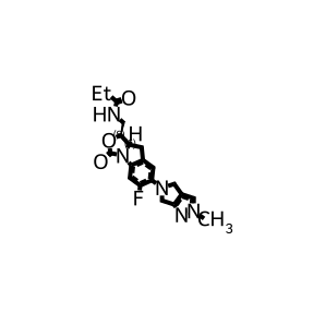 CCC(=O)NC[C@@H]1OC(=O)N2c3cc(F)c(N4Cc5cn(C)nc5C4)cc3C[C@@H]12